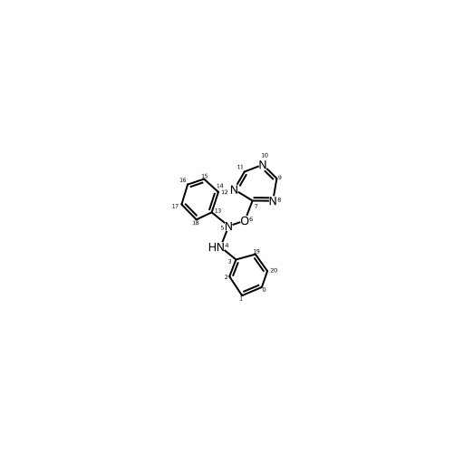 c1ccc(NN(Oc2ncncn2)c2ccccc2)cc1